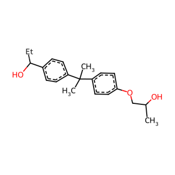 CCC(O)c1ccc(C(C)(C)c2ccc(OCC(C)O)cc2)cc1